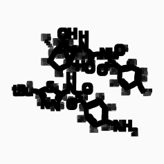 CC(C)(C)c1nnc(NS(=O)(=O)c2ccc(N)cc2)s1.Cc1ccc(S(=O)(=O)NC(=O)N[C@H]2[C@H]3CC[C@@](C)([C@H]2O)C3(C)C)cc1